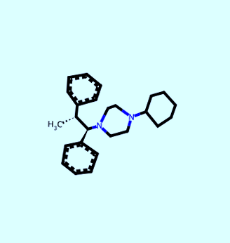 C[C@H](c1ccccc1)[C@H](c1ccccc1)N1CCN(C2CCCCC2)CC1